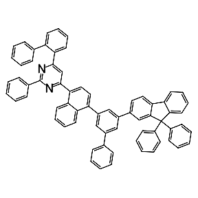 c1ccc(-c2cc(-c3ccc4c(c3)C(c3ccccc3)(c3ccccc3)c3ccccc3-4)cc(-c3ccc(-c4cc(-c5ccccc5-c5ccccc5)nc(-c5ccccc5)n4)c4ccccc34)c2)cc1